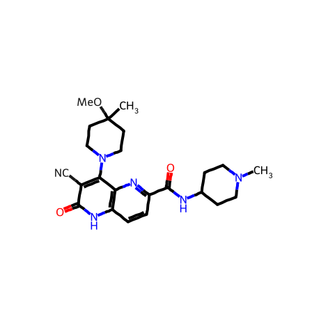 COC1(C)CCN(c2c(C#N)c(=O)[nH]c3ccc(C(=O)NC4CCN(C)CC4)nc23)CC1